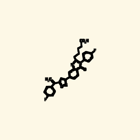 C=C(c1ccc(F)cc1)c1cc(-c2ccc3c(=O)n(-c4ccc(F)cc4)c(CCCCC(=O)O)nc3c2)no1